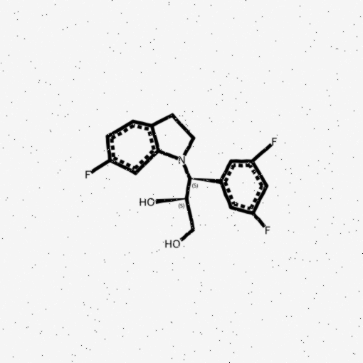 OC[C@@H](O)[C@H](c1cc(F)cc(F)c1)N1CCc2ccc(F)cc21